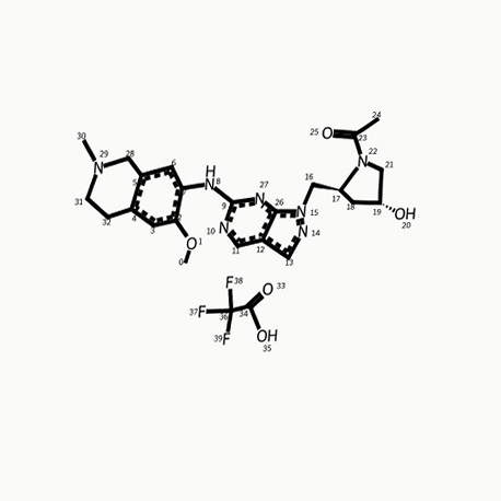 COc1cc2c(cc1Nc1ncc3cnn(C[C@@H]4C[C@@H](O)CN4C(C)=O)c3n1)CN(C)CC2.O=C(O)C(F)(F)F